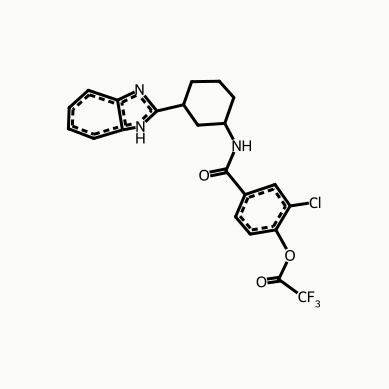 O=C(NC1CCCC(c2nc3ccccc3[nH]2)C1)c1ccc(OC(=O)C(F)(F)F)c(Cl)c1